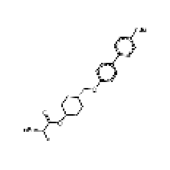 CCCCc1ccc(-c2ccc(OC[C@H]3CC[C@H](OC(=O)[C@@H](F)CCCC)CC3)cc2)cc1